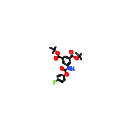 CC(C)(C)OC(=O)c1cc(NC(=O)Oc2ccc(F)cc2)cc(C(=O)OC(C)(C)C)c1